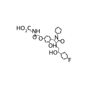 O=C(O)CNC(=O)COc1ccc(C2C(CCC(O)c3ccc(F)cc3)C(=O)N2c2ccccc2)c(O)c1